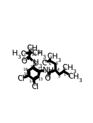 CC(C)CC(CC(C)C)C(=O)Nc1cc(Cl)c(Cl)cc1SC(=O)C(C)(C)C